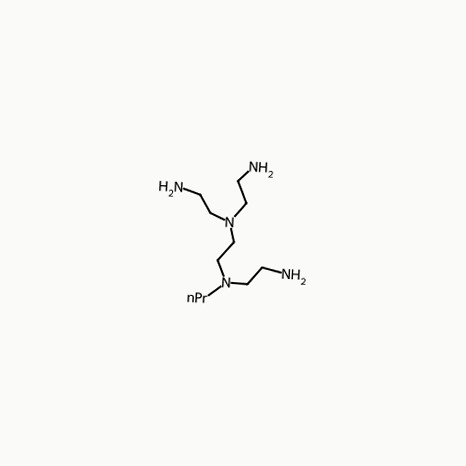 CCCN(CCN)CCN(CCN)CCN